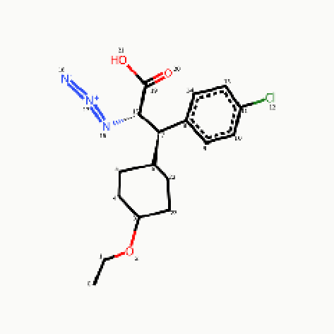 CCOC1CCC([C@H](c2ccc(Cl)cc2)[C@H](N=[N+]=[N-])C(=O)O)CC1